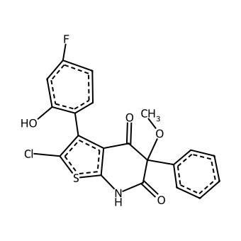 COC1(c2ccccc2)C(=O)Nc2sc(Cl)c(-c3ccc(F)cc3O)c2C1=O